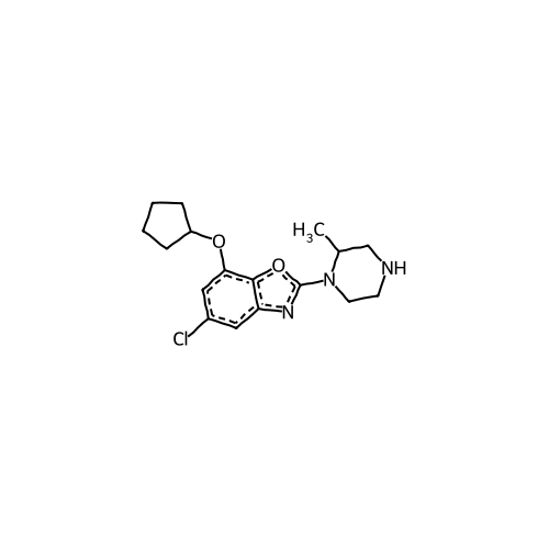 CC1CNCCN1c1nc2cc(Cl)cc(OC3CCCC3)c2o1